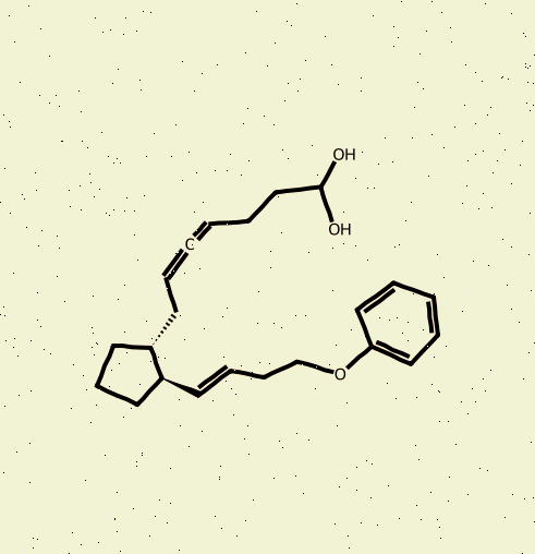 OC(O)CCC=C=CC[C@H]1CCC[C@@H]1/C=C/CCOc1ccccc1